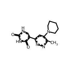 Cc1nnc(-c2c[nH]c(=O)[nH]c2=O)cc1N1CCCCC1